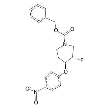 O=C(OCc1ccccc1)N1CC[C@H](Oc2ccc([N+](=O)[O-])cc2)[C@@H](F)C1